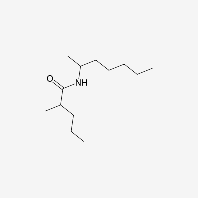 CCCCCC(C)NC(=O)C(C)CCC